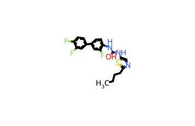 CCCCc1ncc(NC(O)Nc2ccc(-c3ccc(F)c(F)c3)cc2F)s1